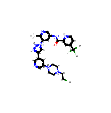 Cc1ncc(NC(=O)c2cc(C(F)(F)F)ccn2)cc1-n1cc(-c2cncc(N3CCN(CCF)CC3)c2)nn1